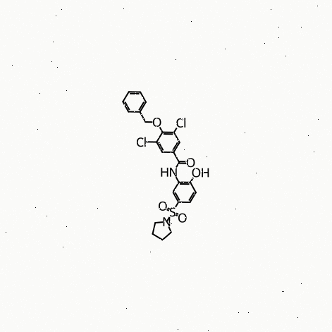 O=C(Nc1cc(S(=O)(=O)N2CCCC2)ccc1O)c1cc(Cl)c(OCc2ccccc2)c(Cl)c1